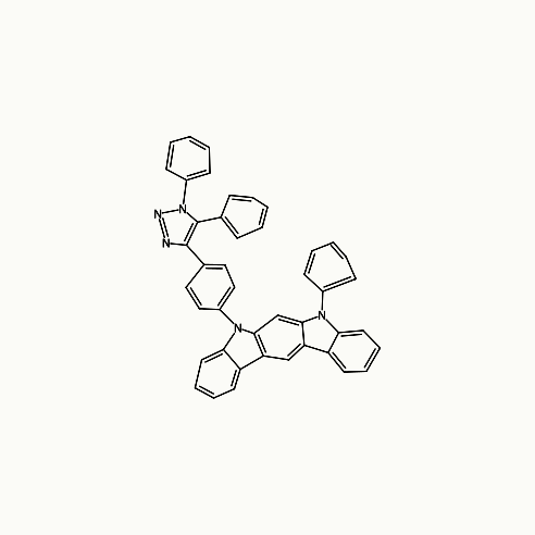 c1ccc(-c2c(-c3ccc(-n4c5ccccc5c5cc6c7ccccc7n(-c7ccccc7)c6cc54)cc3)nnn2-c2ccccc2)cc1